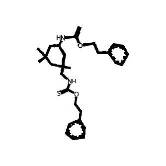 C=C(NC1CC(C)(C)CC(C)(CNC(=S)OCCc2ccccc2)C1)OCCc1ccccc1